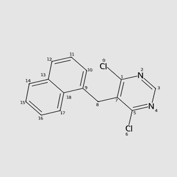 Clc1ncnc(Cl)c1Cc1cccc2ccccc12